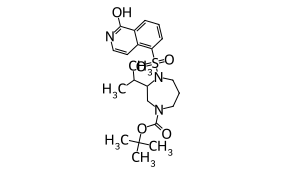 CC(C)C1CN(C(=O)OC(C)(C)C)CCCN1S(=O)(=O)c1cccc2c(O)nccc12